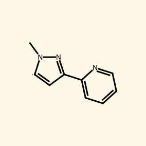 Cn1[c]cc(-c2ccccn2)n1